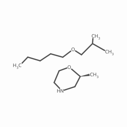 CCCCCOCC(C)C.C[C@H]1CNCCO1